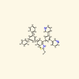 CCc1nc2c(-c3cc(-c4cccnc4)cc(-c4cccnc4)c3)cc(-c3cc(-c4ccccc4)cc(-c4ccccc4)c3)cc2s1